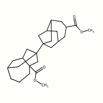 COC(=O)C1CC2CC3CC(C45CC6CCCC(C(=O)OC)(C4)C(C6)C5)(C2)CC3C1